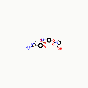 COc1ccc(-c2sc(N)nc2C)cc1S(=O)(=O)Nc1ccc(OC(=O)N2CCC[C@H]2CO)cc1